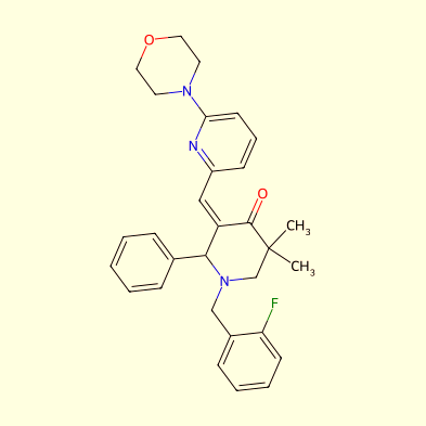 CC1(C)CN(Cc2ccccc2F)C(c2ccccc2)C(=Cc2cccc(N3CCOCC3)n2)C1=O